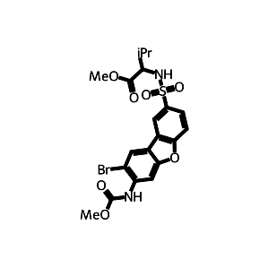 COC(=O)Nc1cc2oc3ccc(S(=O)(=O)NC(C(=O)OC)C(C)C)cc3c2cc1Br